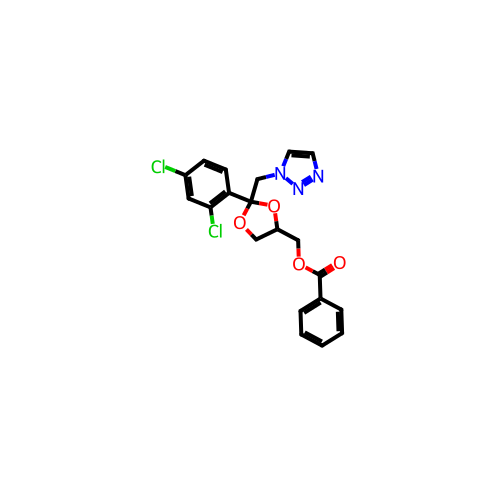 O=C(OCC1COC(Cn2ccnn2)(c2ccc(Cl)cc2Cl)O1)c1ccccc1